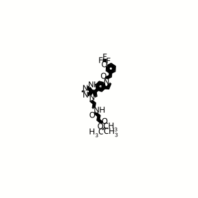 CC(C)(C)OC(=O)CCC(=O)NCCCn1cc(-c2ccc3c(c2)CCN3C(=O)Cc2cccc(OC(F)(F)F)c2)c2c(N)ncnc21